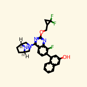 Oc1cc(-c2ccc3c(N4C[C@H]5CC[C@@H](C4)N5)nc(OCC4CC4(F)F)nc3c2F)c2ccccc2c1